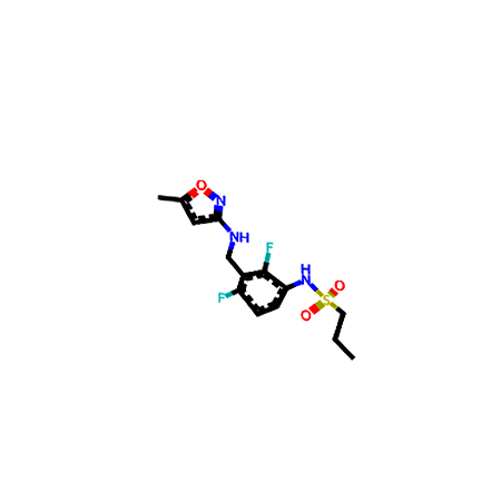 CCCS(=O)(=O)Nc1ccc(F)c(CNc2cc(C)on2)c1F